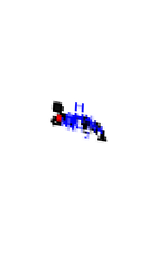 Cc1cc(Nc2nc(N)n(-c3cc(-c4ccccc4)c4c(n3)C3CCC4C3)n2)cnc1N1CCN(CC2CC2)CC1